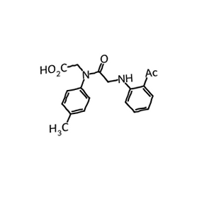 CC(=O)c1ccccc1NCC(=O)N(CC(=O)O)c1ccc(C)cc1